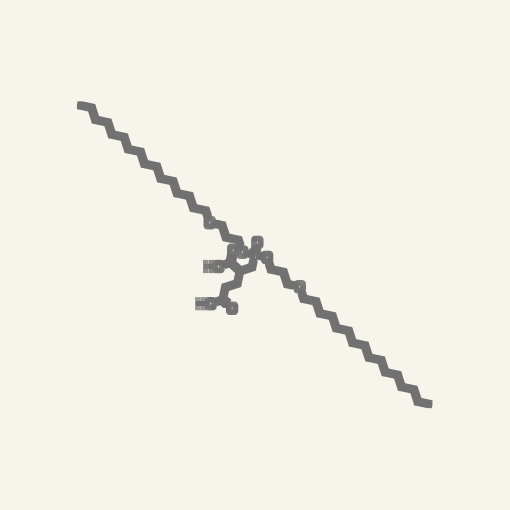 CCCCCCCCCCCCCCCCOCCCOP(=O)(CC(CCC(=O)O)C(=O)O)OCCCOCCCCCCCCCCCCCCCC